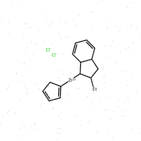 CCC1CC2C=CC=CC2[CH]1[Zr+2][C]1=CC=CC1.[Cl-].[Cl-]